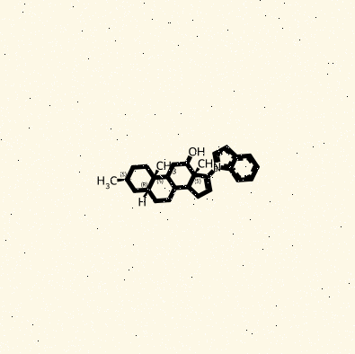 C[C@H]1CC[C@]2(C)C3CC(O)[C@]4(C)C(n5ccc6ccccc65)=CCC4C3CC[C@@H]2C1